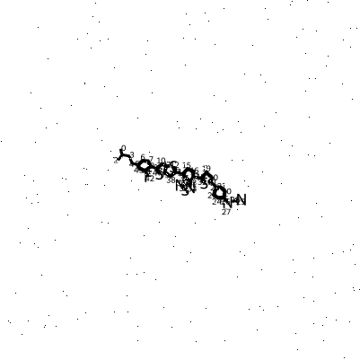 CC(C)CCc1ccc(-c2cc3sc(-c4ccc(-c5ccc(-c6ccc(N(C)C#N)cc6)s5)c5nsnc45)cc3s2)c(F)c1